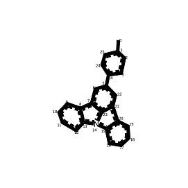 Cc1ccc(-c2cc3c4ccccc4n4c5ccccc5c(c2)c34)cc1